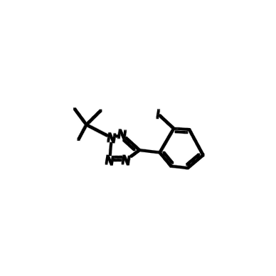 CC(C)(C)n1nnc(-c2ccccc2I)n1